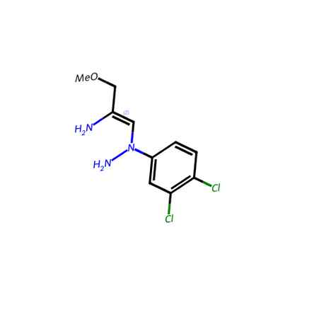 COC/C(N)=C/N(N)c1ccc(Cl)c(Cl)c1